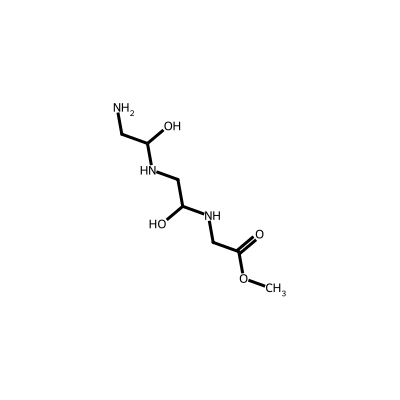 COC(=O)CNC(O)CNC(O)CN